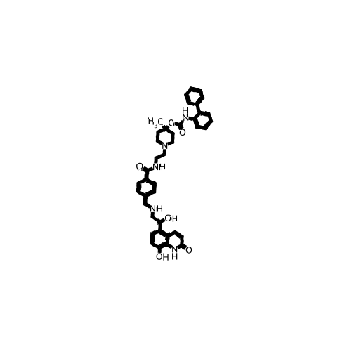 CC1(OC(=O)Nc2ccccc2-c2ccccc2)CCN(CCNC(=O)c2ccc(CNCC(O)c3ccc(O)c4[nH]c(=O)ccc34)cc2)CC1